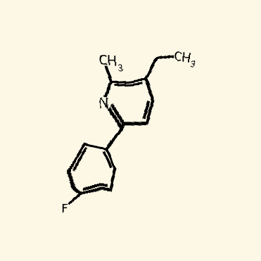 CCc1ccc(-c2ccc(F)cc2)nc1C